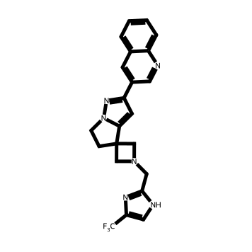 FC(F)(F)c1c[nH]c(CN2CC3(CCn4nc(-c5cnc6ccccc6c5)cc43)C2)n1